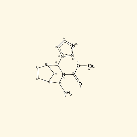 CC(C)(C)OC(=O)N1C(N)C2CCC(C2)C1n1ccnn1